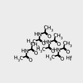 CC(=O)NC(C)=O.CC(=O)NC(C)=O.CC(=O)NC(C)=O.CC(=O)NC(C)=O.[Hf]